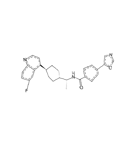 C[C@@H](NC(=O)c1ccc(-c2cnco2)cc1)[C@H]1CC[C@H](c2ccnc3ccc(F)cc32)CC1